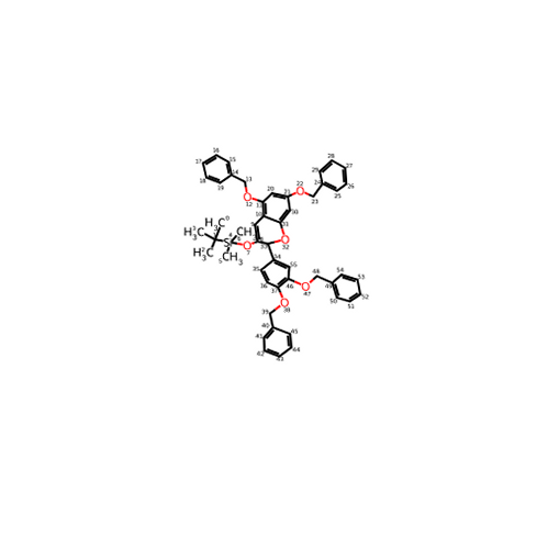 CC(C)(C)[Si](C)(C)OC1=Cc2c(OCc3ccccc3)cc(OCc3ccccc3)cc2OC1c1ccc(OCc2ccccc2)c(OCc2ccccc2)c1